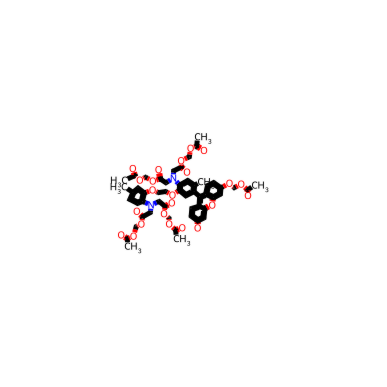 CC(=O)OCOC(=O)CN(CC(=O)OCOC(C)=O)c1ccc(C)cc1OCCOc1cc(-c2c3ccc(=O)cc-3oc3cc(OCOC(C)=O)ccc23)c(C)cc1N(CC(=O)OCOC(C)=O)CC(=O)OCOC(C)=O